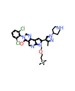 Cc1nn(C2CCNCC2)cc1-c1cc2c3ncn(-c4c(Cl)cccc4Cl)c(=O)c3cnc2n1COCC[Si](C)(C)C